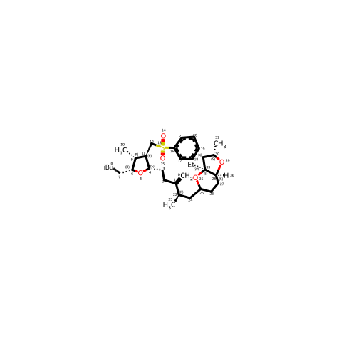 C=C(CC[C@@H]1O[C@H](CC(C)CC)[C@H](C)[C@H]1CS(=O)(=O)c1ccccc1)[C@H](C)CC1CC[C@@H]2O[C@@H](C)C[C@]2(CC)O1